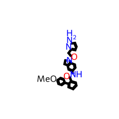 COc1ccc(-c2ccccc2C(=O)Nc2ccc3c(c2)CCN3C(=O)Cc2cccc(N)n2)cc1